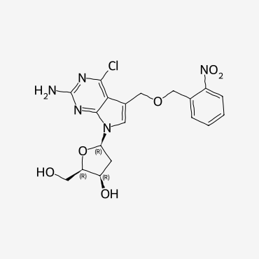 Nc1nc(Cl)c2c(COCc3ccccc3[N+](=O)[O-])cn([C@H]3C[C@@H](O)[C@@H](CO)O3)c2n1